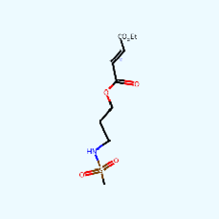 CCOC(=O)/C=C/C(=O)OCCCNS(C)(=O)=O